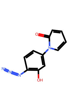 [N-]=[N+]=Nc1ccc(-n2ccccc2=O)cc1O